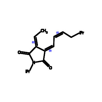 C/C=C1/C(=O)N(C(C)C)C(=O)/C1=C/C=C\CC(C)C